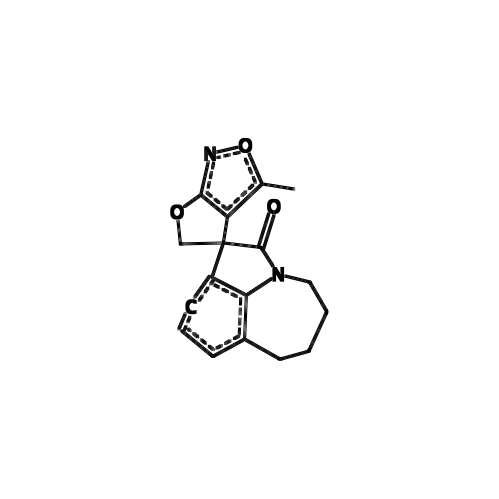 Cc1onc2c1C1(CO2)C(=O)N2CCCCc3cccc1c32